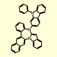 c1ccc(-n2c3ccccc3c3ccc(N4c5ccccc5-c5cc6ccccc6cc5-n5c4cc4ccccc45)cc32)cc1